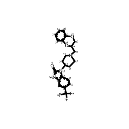 O=c1[nH]c2cc(C(F)(F)F)ccc2n1C1CCN(CC2COc3ccccc3O2)CC1